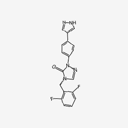 O=c1n(Cc2c(F)cccc2F)cnn1-c1ccc(-c2cn[nH]c2)cc1